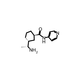 C[C@@H](N)[C@@H]1CCC[C@@H](C(=O)Nc2ccncc2)C1